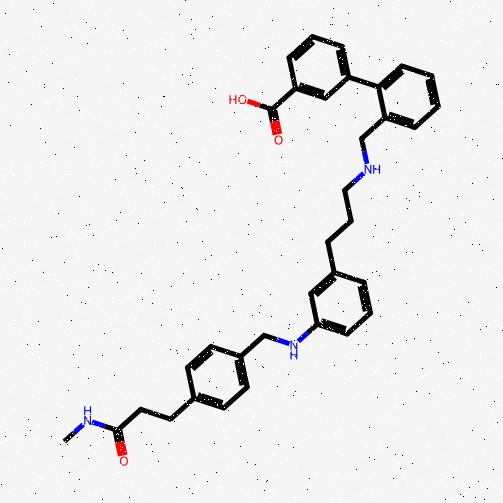 CNC(=O)CCc1ccc(CNc2cccc(CCCNCc3ccccc3-c3cccc(C(=O)O)c3)c2)cc1